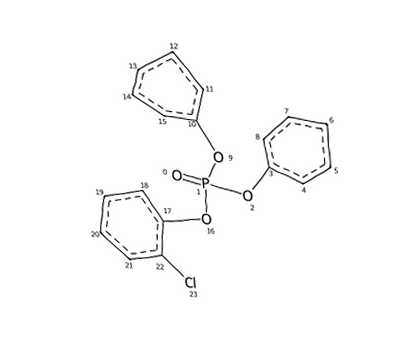 O=P(Oc1ccccc1)(Oc1ccccc1)Oc1ccccc1Cl